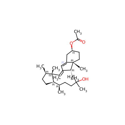 CC/C=C1/C[C@@H](OC(C)=O)CC[C@]1(C)[C@H](C)CC[C@@]1(C)[C@H](C)CC[C@@H]1[C@H](C)CCC(C)(C)O